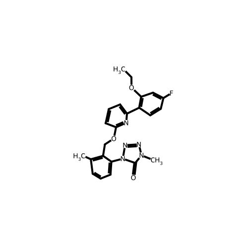 CCOc1cc(F)ccc1-c1cccc(OCc2c(C)cccc2-n2nnn(C)c2=O)n1